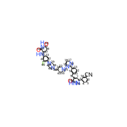 N#Cc1cccc(-c2cc(Cc3cccc(C4N=CC=CN4CN4CCC(CN5CCN(c6ccc(NC7CCC(=O)NC7=O)cc6F)CC5)CC4)c3)c(=O)[nH]n2)c1